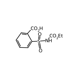 CCOC(=O)NS(=O)(=O)c1ccccc1C(=O)O